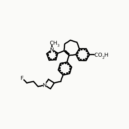 Cn1cccc1C1=C(c2ccc(CC3CN(CCCF)C3)cc2)c2ccc(C(=O)O)cc2CCC1